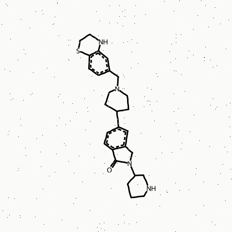 O=C1c2ccc(C3CCN(Cc4ccc5c(c4)NCCS5)CC3)cc2CN1C1CCCNC1